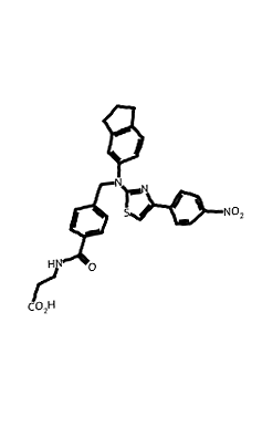 O=C(O)CCNC(=O)c1ccc(CN(c2ccc3c(c2)CCC3)c2nc(-c3ccc([N+](=O)[O-])cc3)cs2)cc1